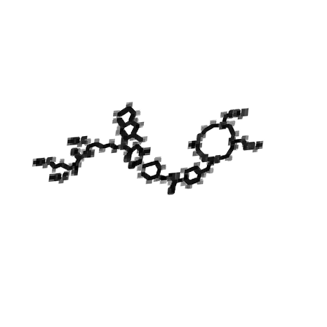 O=C(O)CC[C@H](NC(=O)N[C@@H](CCCCNC(=O)[C@H](Cc1ccc2ccccc2c1)NC(=O)[C@H]1CC[C@H](CNC(=O)c2ccc(CN3CCCN(CC(=O)O)CCN(CC(=O)O)CCCNCC3)cc2)CC1)C(=O)O)C(=O)O